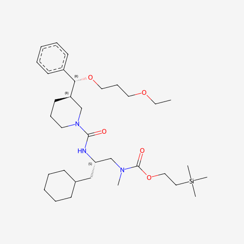 CCOCCCO[C@@H](c1ccccc1)[C@@H]1CCCN(C(=O)N[C@@H](CC2CCCCC2)CN(C)C(=O)OCC[Si](C)(C)C)C1